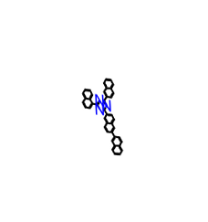 c1ccc2cc(-c3ccc4cc(-c5nc(-c6ccc7ccccc7c6)nc(-c6cccc7ccccc67)n5)ccc4c3)ccc2c1